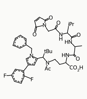 CC(=O)N(CCC(NC(=O)C(C)NC(=O)C(NC(=O)CN1C(=O)C=CC1=O)C(C)C)C(=O)O)C(c1cc(-c2cc(F)ccc2F)cn1Cc1ccccc1)C(C)(C)C